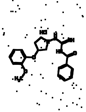 COc1ccccc1OC1CCN(NC(=N)NC(=O)c2ccccc2)C1.Cl